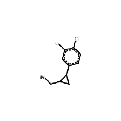 CC(C)CC1CC1c1ccc(Cl)c(Cl)c1